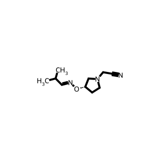 CC(C)/C=N/O[C@H]1CCN(CC#N)C1